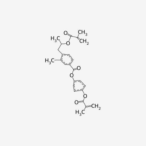 C=C(C)C(=O)Oc1ccc(OC(=O)c2ccc(CC(C)OC(=O)C(=C)C)c(C)c2)cc1